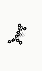 CCCCC1(CCCC)c2cc(-c3nc(-c4ccccc4)nc(-c4ccccc4)n3)ccc2-c2ccc(N(c3ccc(-c4ccccc4)cc3)c3ccc(-c4ccccc4)cc3)cc21